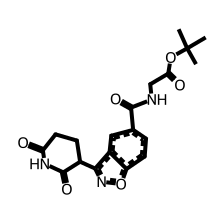 CC(C)(C)OC(=O)CNC(=O)c1ccc2onc(C3CCC(=O)NC3=O)c2c1